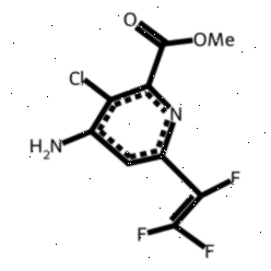 COC(=O)c1nc(C(F)=C(F)F)cc(N)c1Cl